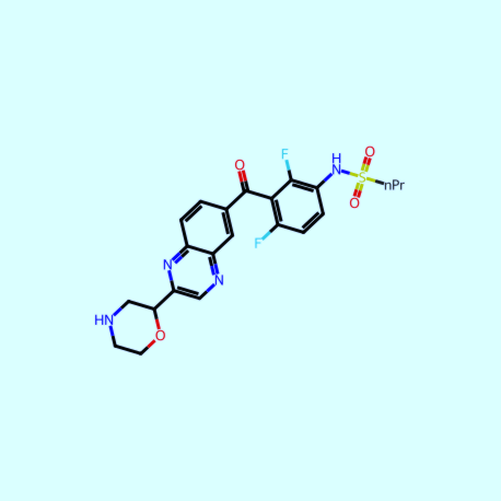 CCCS(=O)(=O)Nc1ccc(F)c(C(=O)c2ccc3nc(C4CNCCO4)cnc3c2)c1F